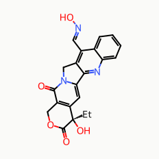 CC[C@@]1(O)C(=O)OCc2c1cc1n(c2=O)Cc2c-1nc1ccccc1c2/C=N/O